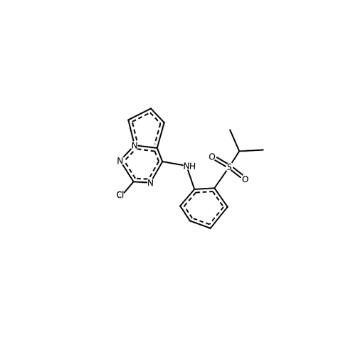 CC(C)S(=O)(=O)c1ccccc1Nc1nc(Cl)nn2cccc12